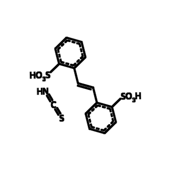 N=C=S.O=S(=O)(O)c1ccccc1C=Cc1ccccc1S(=O)(=O)O